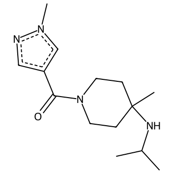 CC(C)NC1(C)CCN(C(=O)c2cnn(C)c2)CC1